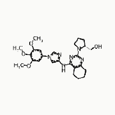 COc1cc(-n2cnc(Nc3nc(N4CCC[C@@H]4CO)nc4c3CCCC4)c2)cc(OC)c1OC